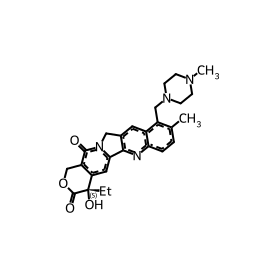 CC[C@@]1(O)C(=O)OCc2c1cc1n(c2=O)Cc2cc3c(CN4CCN(C)CC4)c(C)ccc3nc2-1